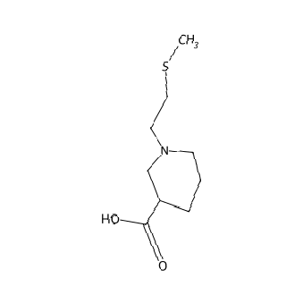 CSCCN1CCCC(C(=O)O)C1